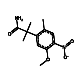 COc1cc(C(C)(C)C(N)=O)c(C)cc1[N+](=O)[O-]